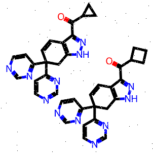 O=C(c1n[nH]c2c1C=CC(c1ccncn1)(c1ccncn1)C2)C1CC1.O=C(c1n[nH]c2c1C=CC(c1ccncn1)(c1ccncn1)C2)C1CCC1